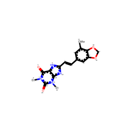 CCn1c(=O)c2[nH]c(C=Cc3cc(OC)c4c(c3)OCO4)nc2n(CC)c1=O